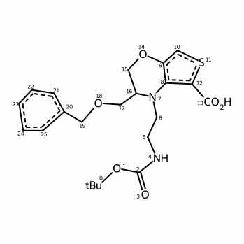 CC(C)(C)OC(=O)NCCN1c2c(csc2C(=O)O)OCC1COCc1ccccc1